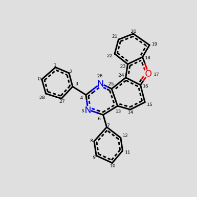 c1ccc(-c2nc(-c3ccccc3)c3ccc4oc5ccccc5c4c3n2)cc1